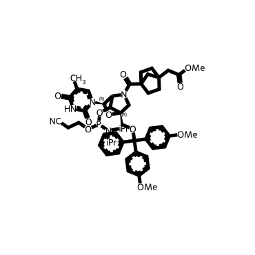 COC(=O)CC12CCC(C(=O)N3C[C@]4(COC(c5ccccc5)(c5ccc(OC)cc5)c5ccc(OC)cc5)O[C@@H](n5cc(C)c(=O)[nH]c5=O)C3C4OP(OCCC#N)N(C(C)C)C(C)C)(CC1)C2